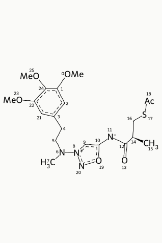 COc1cc(CCN(C)[n+]2cc([N-]C(=O)[C@H](C)CSC(C)=O)on2)cc(OC)c1OC